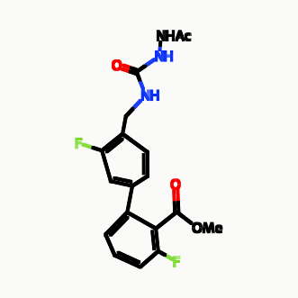 COC(=O)c1c(F)cccc1-c1ccc(CNC(=O)NNC(C)=O)c(F)c1